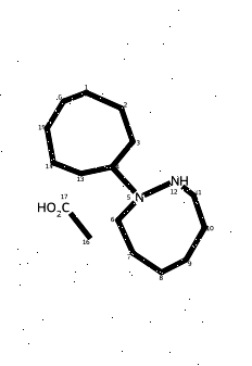 C1CCCC(N2CCCCCCN2)CCC1.CC(=O)O